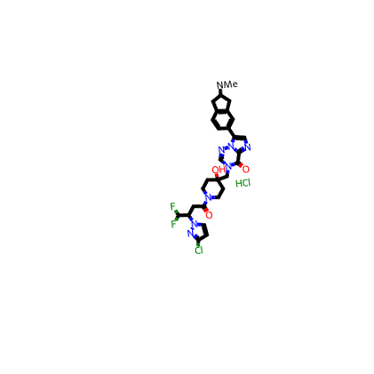 CNC1Cc2ccc(-c3cnc4c(=O)n(CC5(O)CCN(C(=O)CC(C(F)F)n6ccc(Cl)n6)CC5)cnn34)cc2C1.Cl